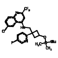 CC(C)(C)[Si](C)(C)OC1CC(CNc2cc(C(F)(F)F)nc3ccc(Cl)cc23)(c2ccc(F)cn2)C1